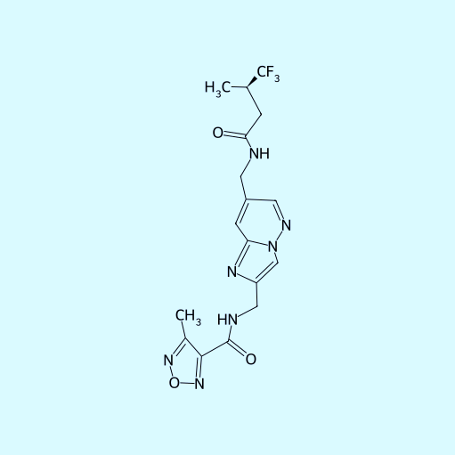 Cc1nonc1C(=O)NCc1cn2ncc(CNC(=O)C[C@@H](C)C(F)(F)F)cc2n1